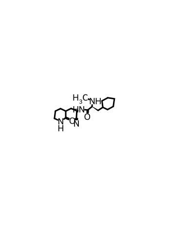 CN[C@@H](CC1CCCCC1)C(=O)NC(C#N)CC1CCCNC1=O